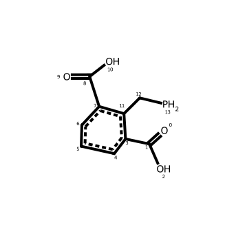 O=C(O)c1cccc(C(=O)O)c1CP